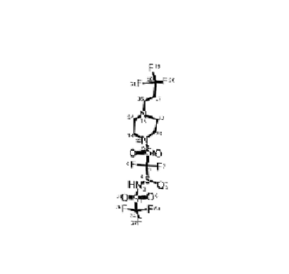 O=S(=O)(N[S+]([O-])C(F)(F)S(=O)(=O)N1CCN(CCC(F)(F)F)CC1)C(F)(F)F